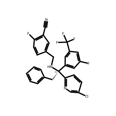 N#Cc1cc(CN[C@@](Cc2ccccc2)(c2cc(F)cc(C(F)(F)F)c2)c2ccc(Cl)cn2)ccc1F